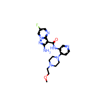 COCCN1CCN(c2ccncc2NC(=O)c2c(N)nn3cc(F)cnc23)CC1